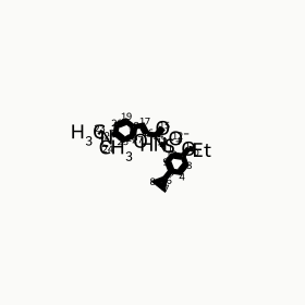 CCOc1ccc(C2CC2)cc1[S+]([O-])NC(=O)c1cc2ccc(N(C)C)cc2o1